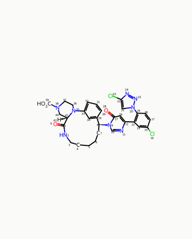 O=C1NCCCCC[C@H](n2cnc(-c3cc(Cl)ccc3-n3cc(Cl)nn3)cc2=O)c2cccc(c2)N2CCN(C(=O)O)C[C@@H]12